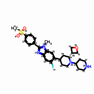 Cn1c(-c2ccc(S(C)(=O)=O)cc2)nc2cc(F)c(C3CCN(C4CCNCC4)[C@@H](C4COC4)C3)cc21